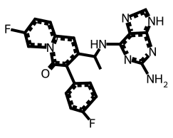 CC(Nc1nc(N)nc2[nH]cnc12)c1cc2ccc(F)cn2c(=O)c1-c1ccc(F)cc1